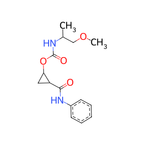 COCC(C)NC(=O)OC1CC1C(=O)Nc1ccccc1